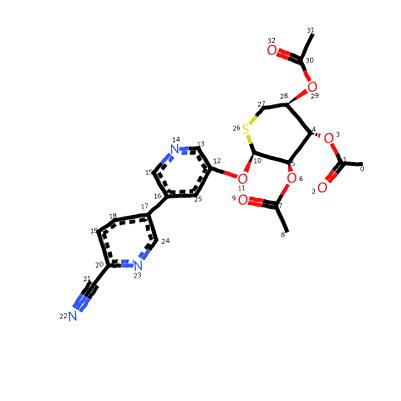 CC(=O)O[C@@H]1[C@@H](OC(C)=O)[C@@H](Oc2cncc(-c3ccc(C#N)nc3)c2)SC[C@H]1OC(C)=O